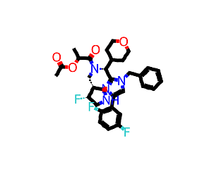 CC(=O)OC(C)C(=O)N(C[C@@H]1CNC[C@@H]1F)[C@@H](c1nc(-c2cc(F)ccc2F)cn1Cc1ccccc1)C1CCOCC1